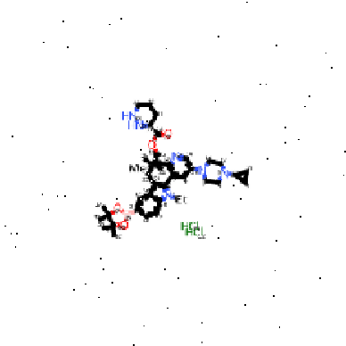 CCn1c(-c2cc(N3CCN(C4CC4)CC3)cnc2[C@H](C)OC)c(CC(C)(C)COC(=O)[C@@H]2CCCNN2)c2cc(B3OC(C)(C)C(C)(C)O3)ccc21.Cl.Cl